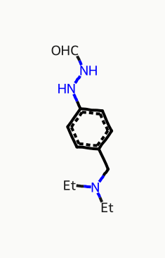 CCN(CC)Cc1ccc(NNC=O)cc1